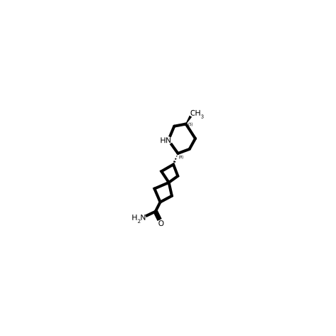 C[C@H]1CC[C@H](C2CC3(CC(C(N)=O)C3)C2)NC1